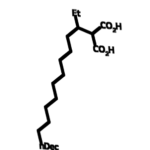 CCCCCCCCCCCCCCCCCCCC(CC)C(C(=O)O)C(=O)O